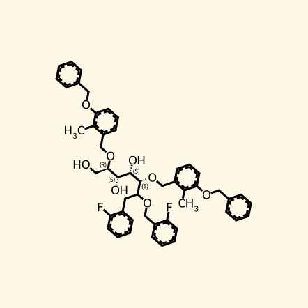 Cc1c(CO[C@H](C(Cc2ccccc2F)OCc2ccccc2F)[C@@H](O)[C@H](O)[C@@H](CO)OCc2cccc(OCc3ccccc3)c2C)cccc1OCc1ccccc1